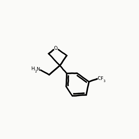 NCC1(c2cccc(C(F)(F)F)c2)COC1